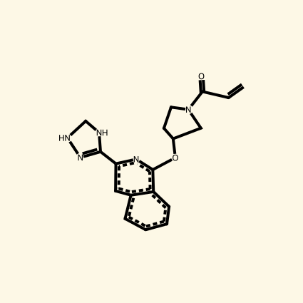 C=CC(=O)N1CCC(Oc2nc(C3=NNCN3)cc3ccccc23)C1